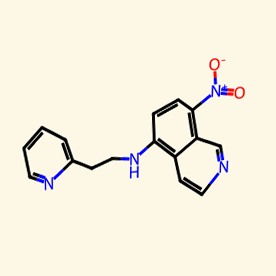 O=[N+]([O-])c1ccc(NCCc2ccccn2)c2ccncc12